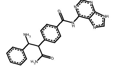 NC(=O)C(c1ccc(C(=O)Nc2ncnc3[nH]cnc23)cc1)C(N)c1ccccc1